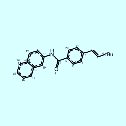 CC(C)(C)/C=C/c1ccc(C(=O)Nc2ccc3ncccc3c2)cc1